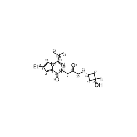 CCc1cc2c(=O)n(CC(=O)CC[C@H]3C[C@@](C)(O)C3)nc(N(C)C)n2c1